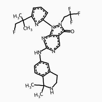 CC(C)(CF)c1cccc(-n2c3nc(Nc4ccc5c(c4)CCNC5(C)C)ncc3c(=O)n2CC(F)(F)F)n1